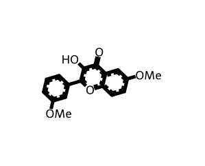 COc1cccc(-c2oc3ccc(OC)cc3c(=O)c2O)c1